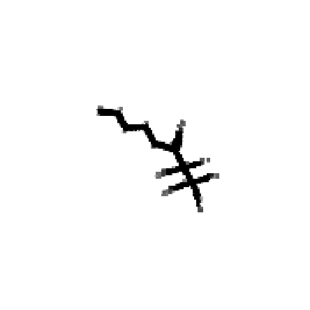 CCCCCC(F)C(F)(F)C(F)(F)F